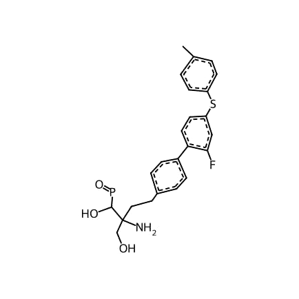 Cc1ccc(Sc2ccc(-c3ccc(CCC(N)(CO)C(O)P=O)cc3)c(F)c2)cc1